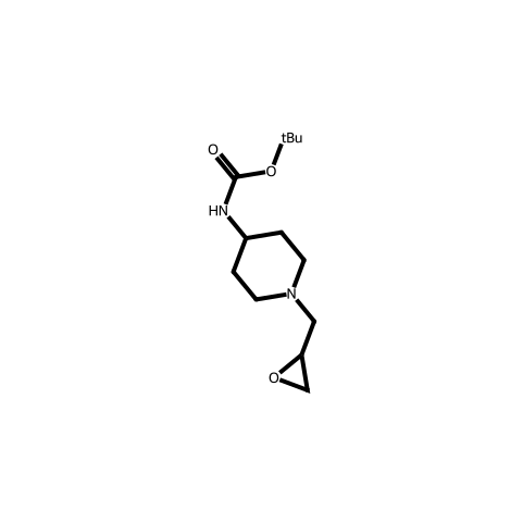 CC(C)(C)OC(=O)NC1CCN(CC2CO2)CC1